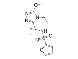 CCn1c(OC)nnc1[C@@H](C)NS(=O)(=O)c1ccco1